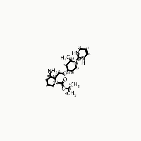 CC(C)OC(=O)N1CCCC(N)C1COC1CCN(C2NC=CCN2)C(C)C1